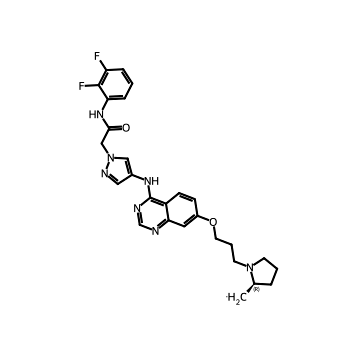 [CH2][C@@H]1CCCN1CCCOc1ccc2c(Nc3cnn(CC(=O)Nc4cccc(F)c4F)c3)ncnc2c1